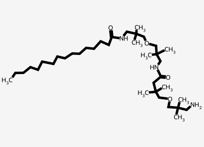 CCCCCCCCCCCCCCCC(=O)NCC(C)(C)COCC(C)(C)CNC(=O)CC(C)(C)COCC(C)(C)CN